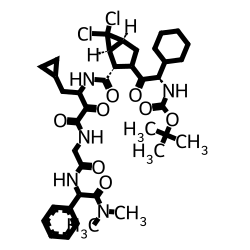 CN(C)C(=O)C(NC(=O)CNC(=O)C(=O)C(CC1CC1)NC(=O)[C@H]1C(C(=O)[C@@H](NC(=O)OC(C)(C)C)C2CCCCC2)C[C@H]2[C@@H]1C2(Cl)Cl)c1ccccc1